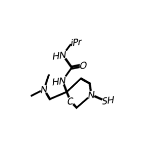 CC(C)NC(=O)NC1(CN(C)C)CCN(S)CC1